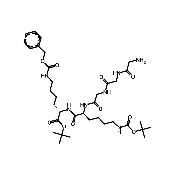 CC(C)(C)OC(=O)NCCCC[C@H](NC(=O)CNC(=O)CNC(=O)CN)C(=O)N[C@@H](CCCCNC(=O)OCc1ccccc1)C(=O)OC(C)(C)C